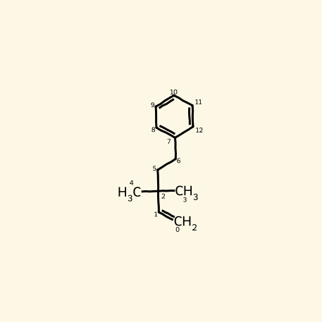 C=CC(C)(C)CCc1ccccc1